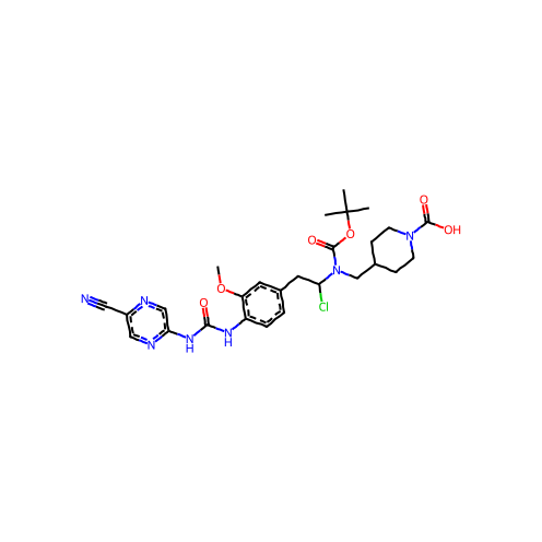 COc1cc(CC(Cl)N(CC2CCN(C(=O)O)CC2)C(=O)OC(C)(C)C)ccc1NC(=O)Nc1cnc(C#N)cn1